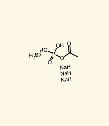 CC(=O)OP(=O)(O)O.[BaH2].[NaH].[NaH].[NaH]